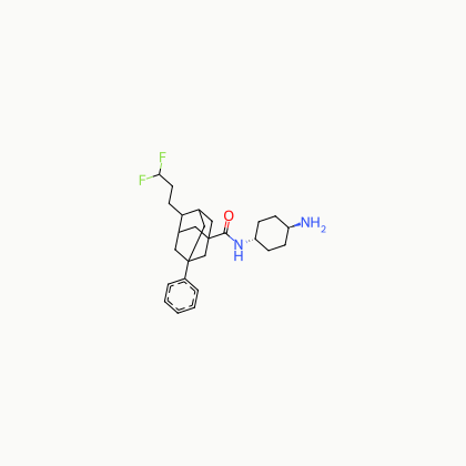 N[C@H]1CC[C@H](NC(=O)C23CC4CC(c5ccccc5)(CC(C2)C4CCC(F)F)C3)CC1